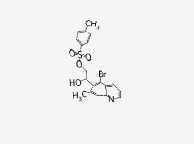 Cc1ccc(S(=O)(=O)OCC(O)c2c(C)cc3ncccc3c2Br)cc1